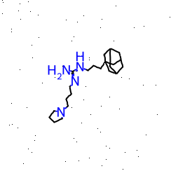 NC(=NCCCCN1CCCC1)NCCCC12CC3CC(CC(C3)C1)C2